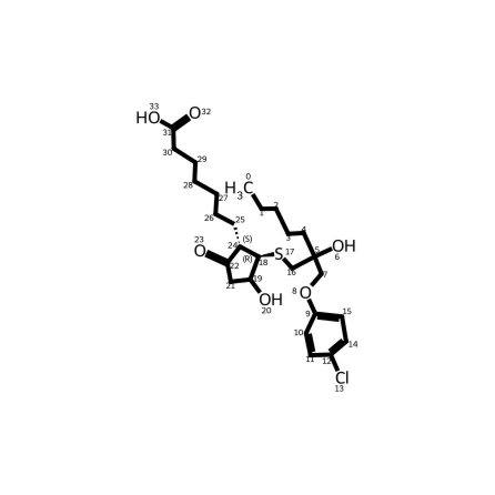 CCCCCC(O)(COc1ccc(Cl)cc1)CS[C@H]1C(O)CC(=O)[C@@H]1CCCCCCC(=O)O